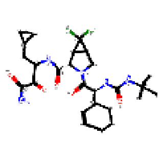 CC(C)(C)NC(=O)N[C@H](C(=O)N1CC2C([C@H]1C(=O)NC(CC1CC1)C(=O)C(N)=O)C2(Cl)Cl)C1CCCCC1